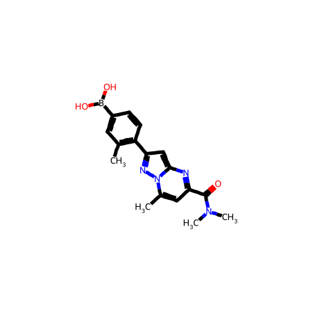 Cc1cc(B(O)O)ccc1-c1cc2nc(C(=O)N(C)C)cc(C)n2n1